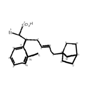 CCC(C(=O)O)C(CC=CCC12CCC(CC1)C2)c1ccccc1C